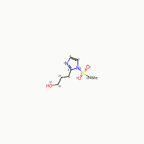 CNS(=O)(=O)n1ccnc1CCCO